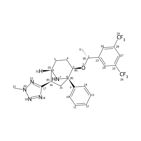 C[C@@H](O[C@@H]1CC[C@@H]2N[C@@]1(c1ccccc1)C[C@H]2c1nnn(C)n1)c1cc(C(F)(F)F)cc(C(F)(F)F)c1